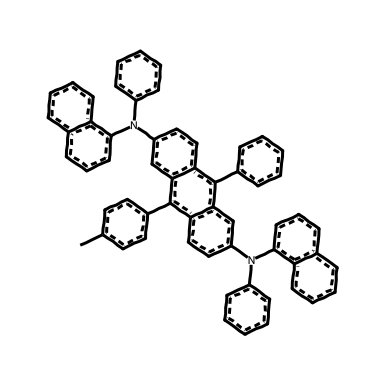 Cc1ccc(-c2c3ccc(N(c4ccccc4)c4cccc5ccccc45)cc3c(-c3ccccc3)c3ccc(N(c4ccccc4)c4cccc5ccccc45)cc23)cc1